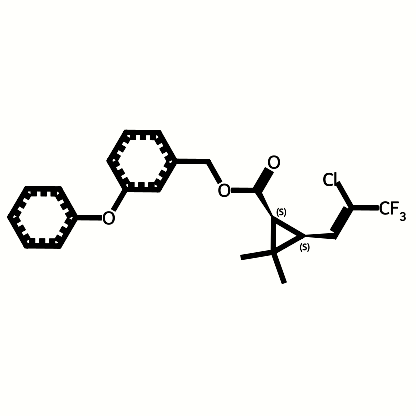 CC1(C)[C@H](C=C(Cl)C(F)(F)F)[C@@H]1C(=O)OCc1cccc(Oc2ccccc2)c1